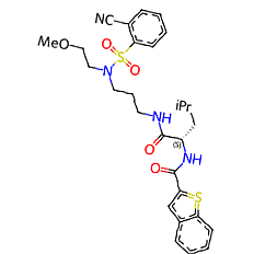 COCCN(CCCNC(=O)[C@H](CC(C)C)NC(=O)c1cc2ccccc2s1)S(=O)(=O)c1ccccc1C#N